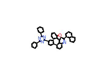 c1ccc(-c2nc(-c3ccccc3)nc(-c3ccc(-c4cccc5nc(-c6cccc7ccccc67)c6oc7ccccc7c6c45)cc3)n2)cc1